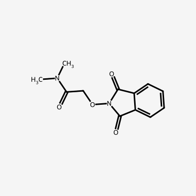 CN(C)C(=O)CON1C(=O)c2ccccc2C1=O